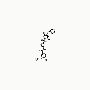 CCc1cc(C(=O)Nc2ccc(S(=O)(=O)N3C[C@H]4C[C@@H]3CN4Cc3ccccc3)s2)ccc1Cl